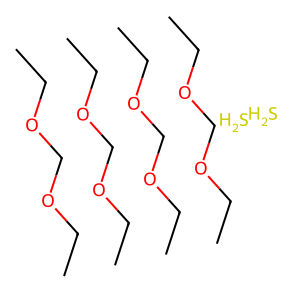 CCOCOCC.CCOCOCC.CCOCOCC.CCOCOCC.S.S